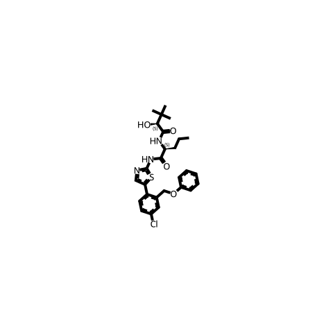 CCC[C@H](NC(=O)[C@@H](O)C(C)(C)C)C(=O)Nc1ncc(-c2ccc(Cl)cc2COc2ccccc2)s1